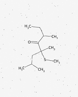 CCC(C)C(=O)C(C)(CC(C)C)SC